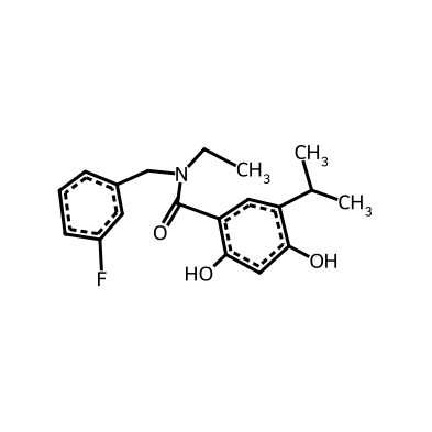 CCN(Cc1cccc(F)c1)C(=O)c1cc(C(C)C)c(O)cc1O